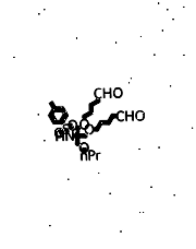 CCCOCC(COCCCCC=O)(COCCCCC=O)NS(=O)(=O)c1ccc(C)cc1